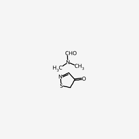 CN(C)C=O.O=C1C=NSC1